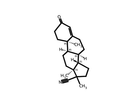 CC1(C#N)CC[C@H]2[C@@H]3CCC4=CC(=O)CC[C@]4(C)[C@@H]3CC[C@@]21C